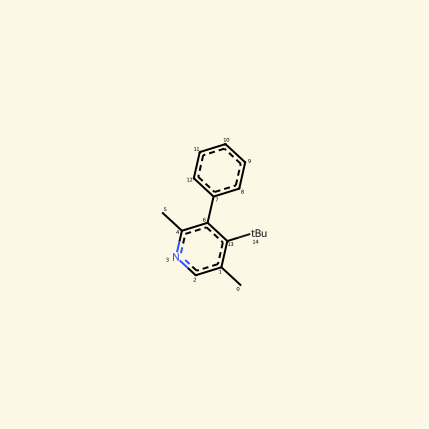 Cc1cnc(C)c(-c2ccccc2)c1C(C)(C)C